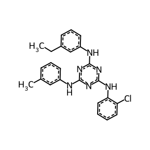 CCc1cccc(Nc2nc(Nc3cccc(C)c3)nc(Nc3ccccc3Cl)n2)c1